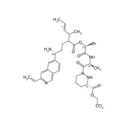 C=Cc1cc2cc([C@H](N)CCC(C(=O)O[C@H](C(=O)N[C@@H](C)C(=O)N3CCC[C@@H](C(=O)OCC(Cl)(Cl)Cl)N3)C(C)C)C(C)/C=C/C)ccc2cn1